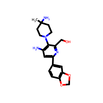 CC1(N)CCN(c2c(N)cc(-c3ccc4c(c3)OCO4)nc2CO)CC1